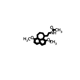 COc1ccc2ccc(OC)c3c2c1CCCC3CCNC(C)=O